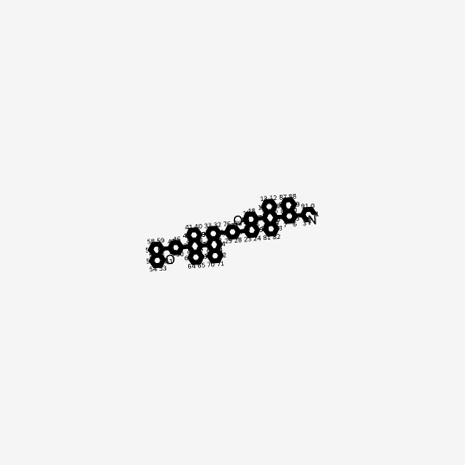 c1cncc(-c2ccc(-c3c4ccccc4c(-c4ccc5c6c(cccc46)-c4ccc(-c6cccc7c(-c8c9ccccc9c(-c9ccc%10c(c9)Oc9cccc%11cccc-%10c9%11)c9ccccc89)c8ccccc8cc67)cc4O5)c4ccccc34)c3ccccc23)c1